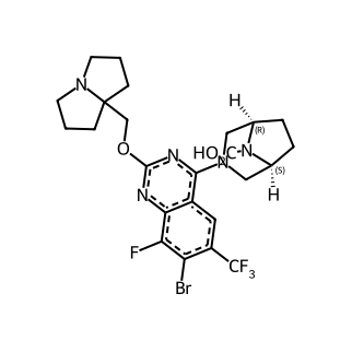 O=C(O)N1[C@@H]2CC[C@H]1CN(c1nc(OCC34CCCN3CCC4)nc3c(F)c(Br)c(C(F)(F)F)cc13)C2